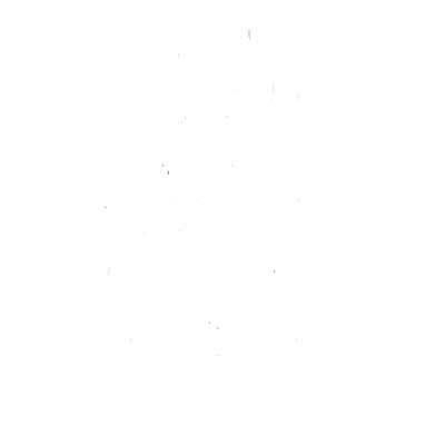 CC1CN(C(=O)N2CCc3cc(Cl)cc([C@@H]4COCCN4C(=O)OC(C)(C)C)c3C2)C(C)CO1